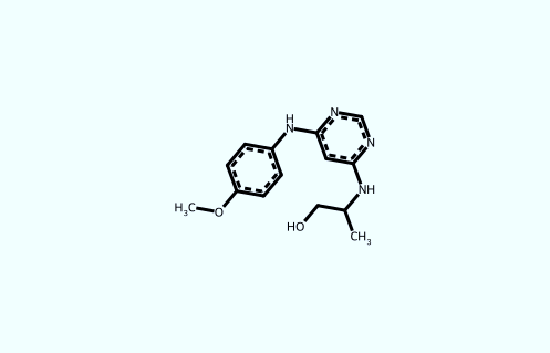 COc1ccc(Nc2cc(NC(C)CO)ncn2)cc1